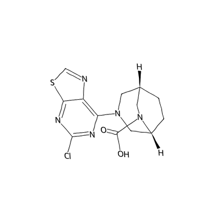 O=C(O)N1C[C@H]2CC[C@@H]1CN(c1nc(Cl)nc3scnc13)C2